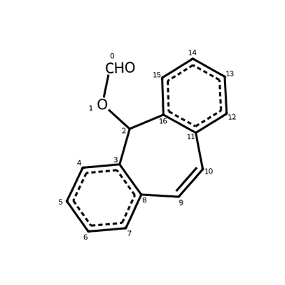 O=COC1c2ccccc2C=Cc2ccccc21